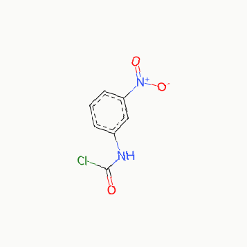 O=C(Cl)Nc1cccc([N+](=O)[O-])c1